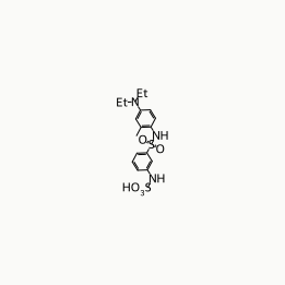 CCN(CC)c1ccc(NS(=O)(=O)c2cccc(NS(=O)(=O)O)c2)c(C)c1